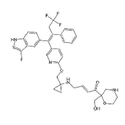 O=C(/C=C/CNC1(COc2ccc(/C(=C(/CC(F)(F)F)c3ccccc3)c3ccc4[nH]nc(F)c4c3)cn2)CC1)C1(CO)CNCCO1